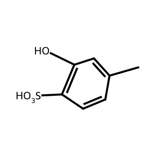 Cc1ccc(S(=O)(=O)O)c(O)c1